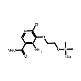 COC(=O)c1cnc(Cl)c(OCCO[Si](C)(C)C(C)(C)C)c1N